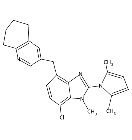 Cc1ccc(C)n1-c1nc2c(Cc3cnc4c(c3)CCCC4)ccc(Cl)c2n1C